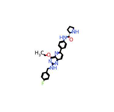 CCOc1nc(NCc2ccc(F)cc2)nc2ccc(-c3ccc(NC(=O)[C@@H]4CCCN4)cc3)nc12